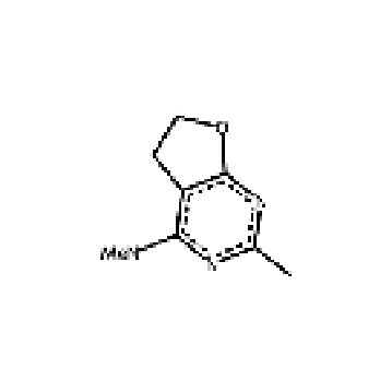 CNc1nc(C)nc2c1CCO2